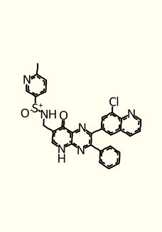 Cc1ccc([S+]([O-])NCc2c[nH]c3nc(-c4ccccc4)c(-c4cc(Cl)c5ncccc5c4)nc3c2=O)cn1